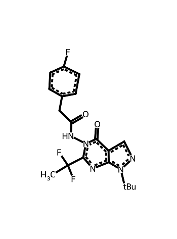 CC(F)(F)c1nc2c(cnn2C(C)(C)C)c(=O)n1NC(=O)Cc1ccc(F)cc1